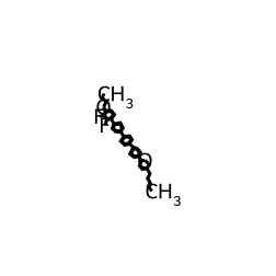 C/C=C/CCC1CCC(c2ccc(-c3ccc(-c4ccc(-c5ccc(OCCC)c(F)c5F)cc4)cc3)cc2)OC1